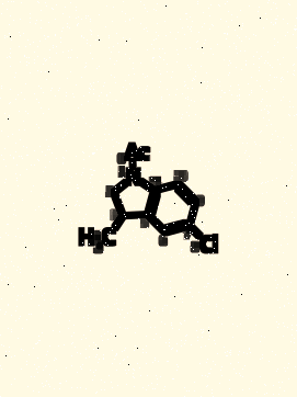 CC(=O)N1CC(C)c2cc(Cl)ccc21